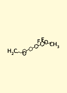 C=CCCC1CCC(C2CCC(c3ccc(-c4ccc(OCCC)c(F)c4F)cc3)CC2)CO1